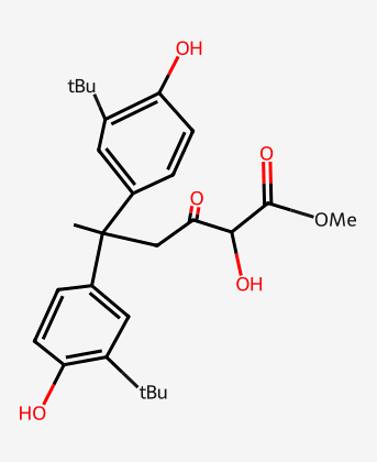 COC(=O)C(O)C(=O)CC(C)(c1ccc(O)c(C(C)(C)C)c1)c1ccc(O)c(C(C)(C)C)c1